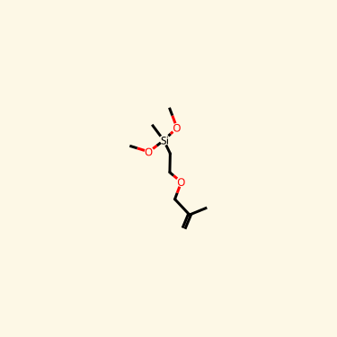 C=C(C)COCC[Si](C)(OC)OC